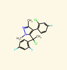 Cc1nn(C)c(C(C)(Cl)c2ccc(F)cc2F)c1-c1ccc(F)cc1Cl